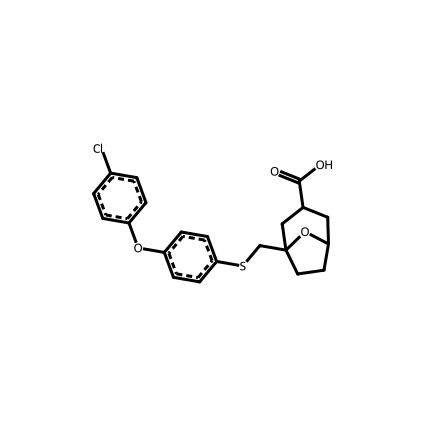 O=C(O)C1CC2CCC(CSc3ccc(Oc4ccc(Cl)cc4)cc3)(C1)O2